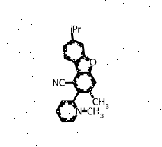 Cc1cc2oc3cc(C(C)C)ccc3c2c(C#N)c1-c1cccc[n+]1C